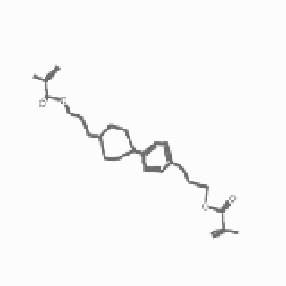 C=C(C)C(=O)OCCCc1ccc(C2CCC(CCCOC(=O)C(=C)C)CC2)cc1